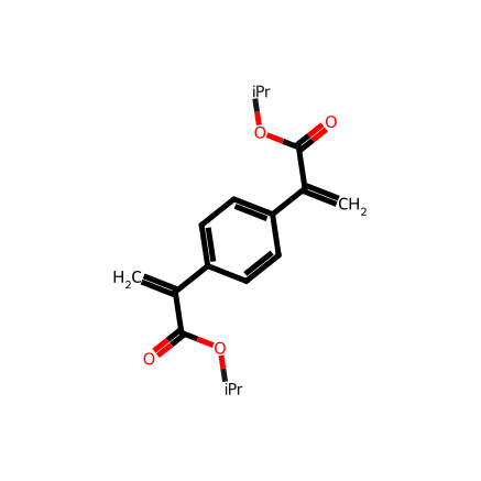 C=C(C(=O)OC(C)C)c1ccc(C(=C)C(=O)OC(C)C)cc1